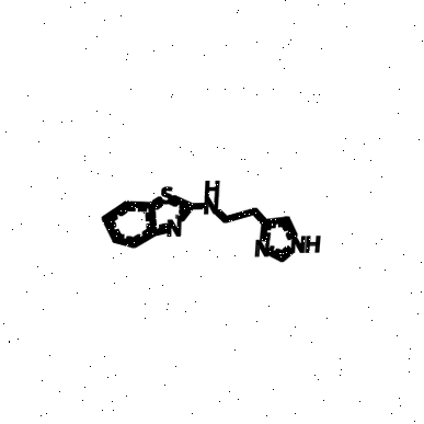 c1ccc2sc(NCCc3c[nH]cn3)nc2c1